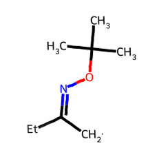 [CH2]C(CC)=NOC(C)(C)C